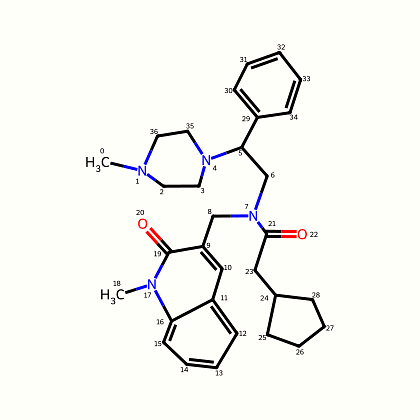 CN1CCN(C(CN(Cc2cc3ccccc3n(C)c2=O)C(=O)CC2CCCC2)c2ccccc2)CC1